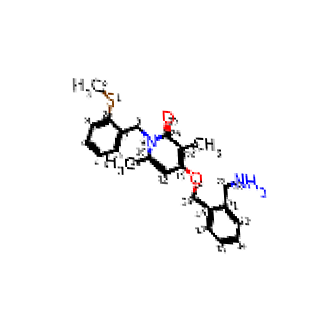 CSc1ccccc1Cn1c(C)cc(OCc2ccccc2CN)c(C)c1=O